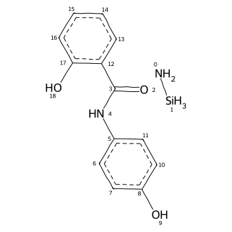 N[SiH3].O=C(Nc1ccc(O)cc1)c1ccccc1O